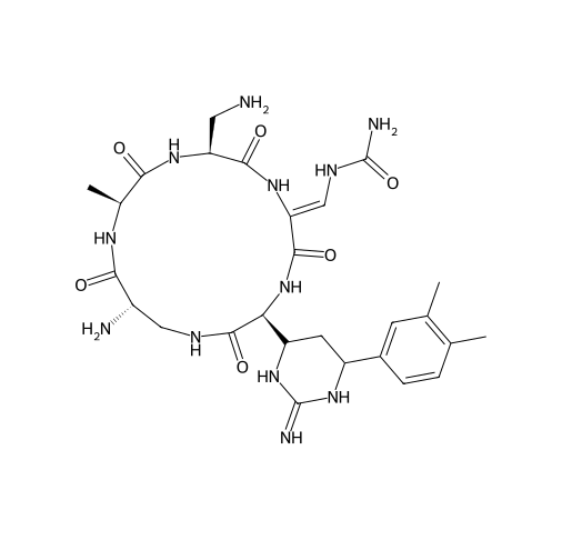 Cc1ccc(C2CC([C@@H]3NC(=O)/C(=C/NC(N)=O)NC(=O)[C@H](CN)NC(=O)[C@H](C)NC(=O)[C@@H](N)CNC3=O)NC(=N)N2)cc1C